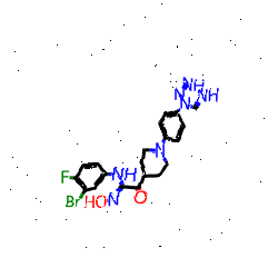 N=CN(N=N)c1ccc(N2CCC(C(=O)/C(=N/O)Nc3ccc(F)c(Br)c3)CC2)cc1